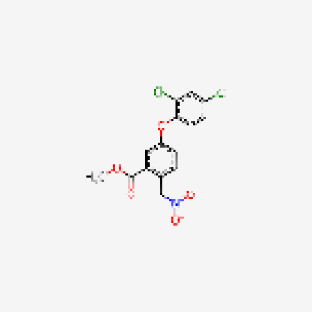 COC(=O)c1cc(Oc2ccc(Cl)cc2Cl)ccc1C[N+](=O)[O-]